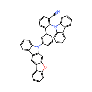 N#Cc1cccc(C2C=C(n3c4ccccc4c4cc5c(cc43)oc3ccccc35)C=CC2)c1-n1c2ccccc2c2ccccc21